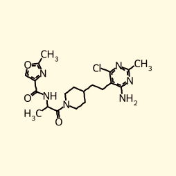 Cc1nc(N)c(CCC2CCN(C(=O)C(C)NC(=O)c3coc(C)n3)CC2)c(Cl)n1